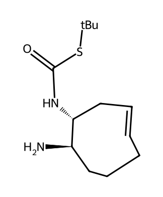 CC(C)(C)SC(=O)N[C@@H]1C/C=C/CCC[C@H]1N